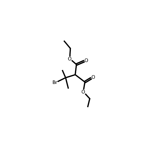 CCOC(=O)C(C(=O)OCC)C(C)(C)Br